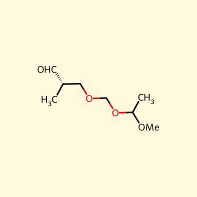 COC(C)OCOC[C@H](C)C=O